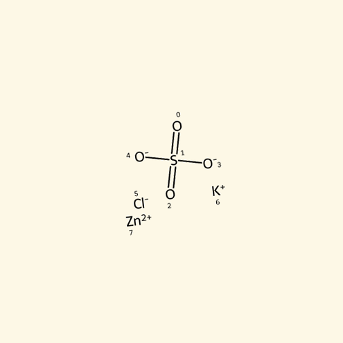 O=S(=O)([O-])[O-].[Cl-].[K+].[Zn+2]